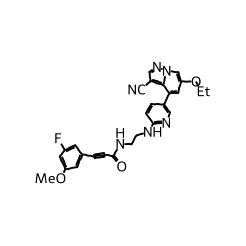 CCOc1cc(-c2ccc(NCCNC(=O)C#Cc3cc(F)cc(OC)c3)nc2)c2c(C#N)cnn2c1